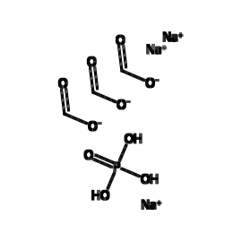 O=C[O-].O=C[O-].O=C[O-].O=P(O)(O)O.[Na+].[Na+].[Na+]